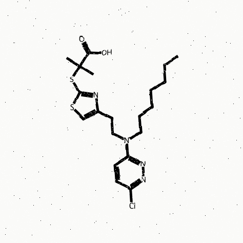 CCCCCCCN(CCc1csc(SC(C)(C)C(=O)O)n1)c1ccc(Cl)nn1